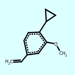 C=Cc1ccc(C2CC2)c(OC)c1